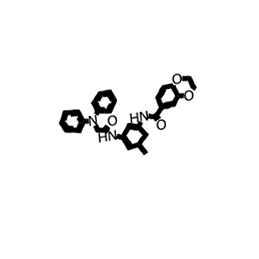 CC1C=C(NC(=O)CN(c2ccccc2)c2ccccc2)C=C(NC(=O)C2=CC3OCCOC3C=C2)C1